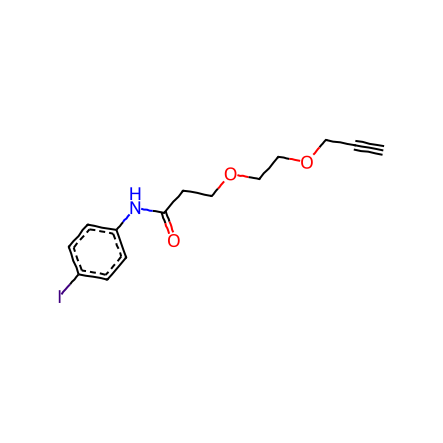 C#CCOCCOCCC(=O)Nc1ccc(I)cc1